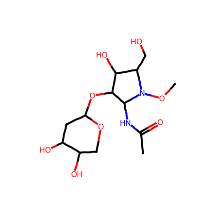 CON1C(CO)C(O)C(OC2CC(O)C(O)CO2)C1NC(C)=O